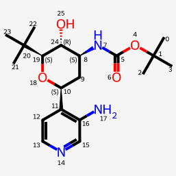 CC(C)(C)OC(=O)N[C@H]1C[C@@H](c2ccncc2N)O[C@@H](C(C)(C)C)[C@@H]1O